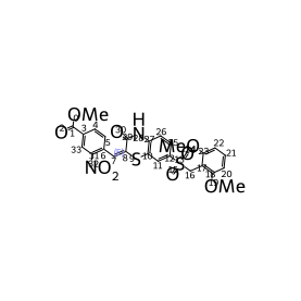 COC(=O)c1ccc(/C=C2/Sc3cc(S(=O)(=O)Cc4c(OC)cccc4OC)ccc3NC2=O)c([N+](=O)[O-])c1